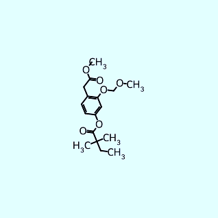 CCC(C)(C)C(=O)Oc1ccc(CC(=O)OC)c(OCOC)c1